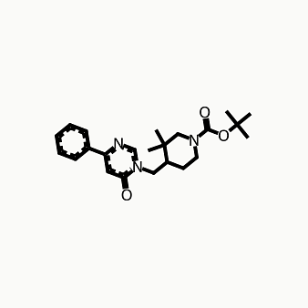 CC(C)(C)OC(=O)N1CCC(Cn2cnc(-c3ccccc3)cc2=O)C(C)(C)C1